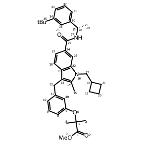 COC(=O)C(C)(C)Oc1cccc(Cc2c(C)n(CC3CCC3)c3cc(C(=O)N[C@@H](C)c4cccc(C(C)(C)C)c4)ccc23)c1